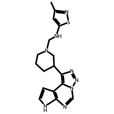 Cc1cc(NCN2CCCC(c3nnn4cnc5[nH]ccc5c34)C2)sn1